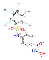 O=C(NO)c1ccc(NS(=O)(=O)c2c(F)c(F)c(F)c(F)c2F)cc1